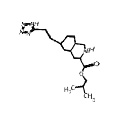 CC(C)COC(=O)C1CC2CC(CCc3nnn[nH]3)CCC2CN1